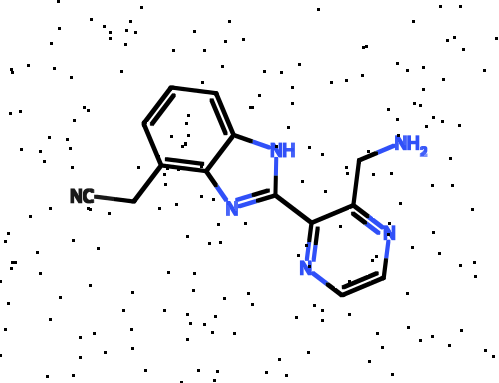 N#CCc1cccc2[nH]c(-c3nccnc3CN)nc12